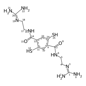 NC(N)=NCCNC(=O)c1cc(S)c(C(=O)NCCN=C(N)N)cc1S